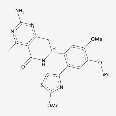 COc1nc(-c2cc(OC(C)C)c(OC)cc2[C@H]2Cc3nc(N)nc(C)c3C(=O)N2)cs1